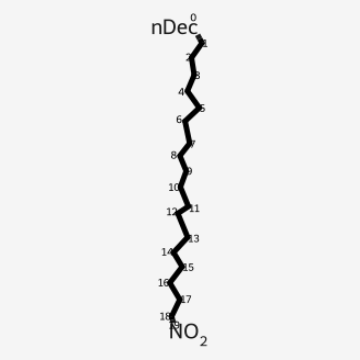 CCCCCCCCCCCCCCCCCCCCCCCCCCCC[N+](=O)[O-]